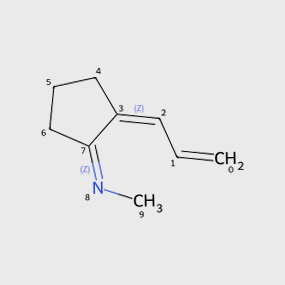 C=C/C=C1/CCC/C1=N/C